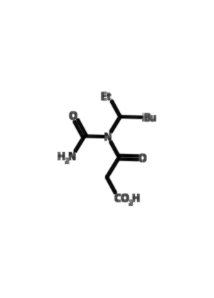 CCC(C)C(CC)N(C(N)=O)C(=O)CC(=O)O